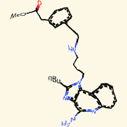 CCCCc1nc2c(N)nc3ccccc3c2n1CCCNCc1cccc(CC(=O)OC)c1